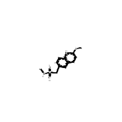 COc1ccc2cc(CS(=O)(=O)OC)ccc2n1